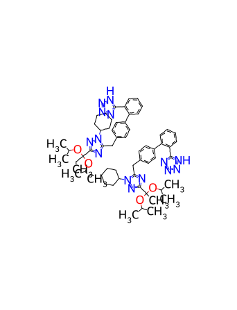 CC(C)OC(C)(OC(C)C)c1nc(Cc2ccc(-c3ccccc3-c3nnn[nH]3)cc2)n(C2CCCCC2)n1.CCC(OC(C)C)(OC(C)C)c1nc(Cc2ccc(-c3ccccc3-c3nnn[nH]3)cc2)n(C2CCCCC2)n1